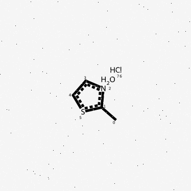 Cc1nccs1.Cl.O